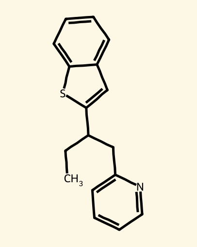 CCC(Cc1ccccn1)c1cc2ccccc2s1